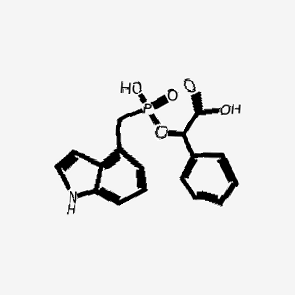 O=C(O)C(OP(=O)(O)Cc1cccc2[nH]ccc12)c1ccccc1